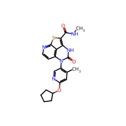 CNC(=O)c1sc2nccc3c2c1NC(=O)N3c1cnc(OC2CCCC2)cc1C